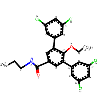 CCCCCCCCCCCCNC(=O)c1cc(-c2cc(Cl)cc(Cl)c2)c(OCC(=O)O)c(-c2cc(Cl)cc(Cl)c2)c1